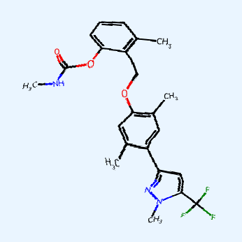 CNC(=O)Oc1cccc(C)c1COc1cc(C)c(-c2cc(C(F)(F)F)n(C)n2)cc1C